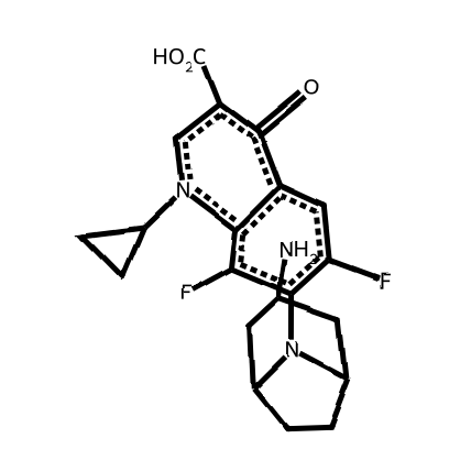 NC1CC2CCC(C1)N2c1c(F)cc2c(=O)c(C(=O)O)cn(C3CC3)c2c1F